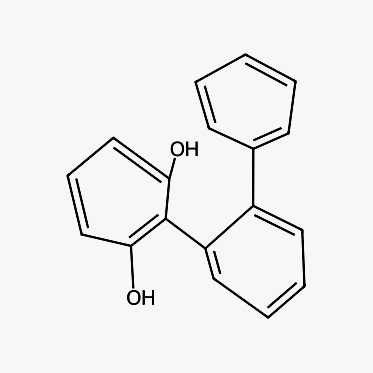 Oc1cccc(O)c1-c1ccccc1-c1ccccc1